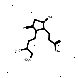 CCCCCC(=O)CCC1C(O)CC(=O)C1CCC(C)CC(=O)O